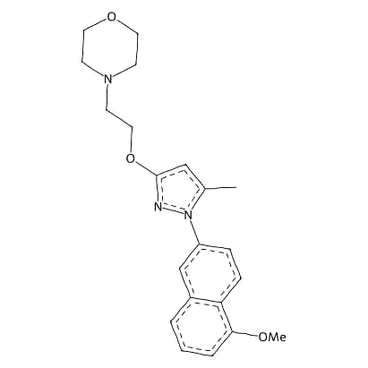 COc1cccc2cc(-n3nc(OCCN4CCOCC4)cc3C)ccc12